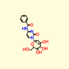 O=C(Nc1ccn([C@@H]2C[C@@H](O)C(O)[C@H](O)C(CO)O2)c(=O)n1)c1ccccc1